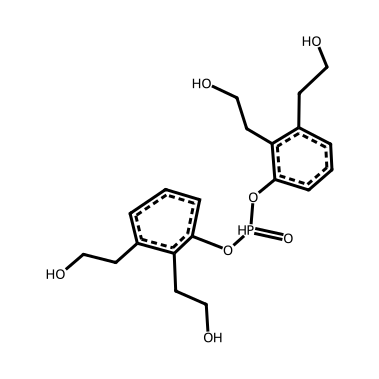 O=[PH](Oc1cccc(CCO)c1CCO)Oc1cccc(CCO)c1CCO